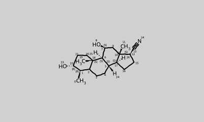 C[C@@H]1C2CC[C@@H]3[C@H]([C@@H](O)C[C@]4(C)[C@@H](C#N)CC[C@@H]34)[C@@]2(C)CC[C@H]1O